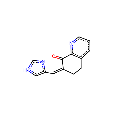 O=C1C(=Cc2c[nH]cn2)CCc2cccnc21